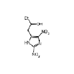 CCC(O)Cc1[nH]c([N+](=O)[O-])nc1[N+](=O)[O-]